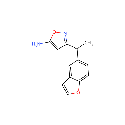 CC(c1ccc2occc2c1)c1cc(N)on1